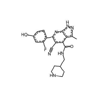 Cc1n[nH]c2nc(-c3ccc(O)cc3F)c(C#N)c(C(=O)NCC3CCNCC3)c12